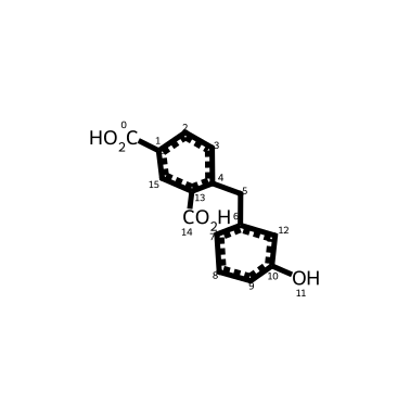 O=C(O)c1ccc(Cc2cccc(O)c2)c(C(=O)O)c1